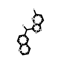 FC(c1ccc2ncccc2c1)c1nnc2ccc(I)nn12